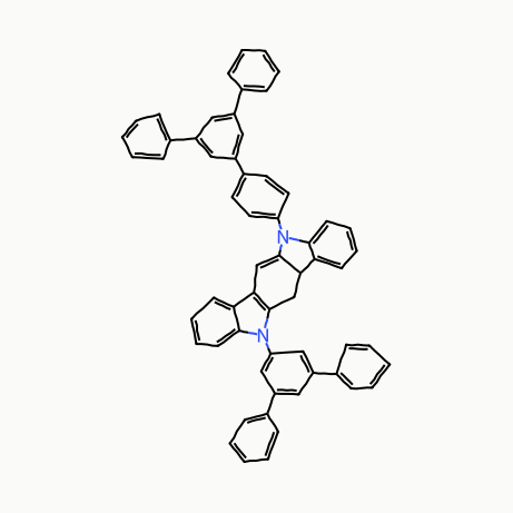 C1=C2C(Cc3c1c1ccccc1n3-c1cc(-c3ccccc3)cc(-c3ccccc3)c1)c1ccccc1N2c1ccc(-c2cc(-c3ccccc3)cc(-c3ccccc3)c2)cc1